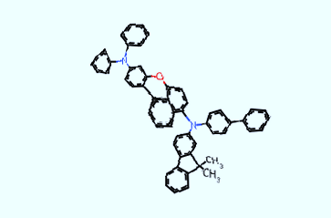 CC1(C)c2ccccc2-c2ccc(N(c3ccc(-c4ccccc4)cc3)c3ccc4c5c(cccc35)-c3ccc(N(c5ccccc5)c5ccccc5)cc3O4)cc21